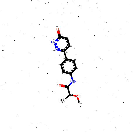 CCOC(C)C(=O)Nc1ccc(-c2ccc(=O)[nH]n2)cc1